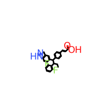 CCC(c1c(F)cccc1F)C(c1ccc(/C=C/C(=O)O)cc1)c1ccc2[nH]ncc2c1